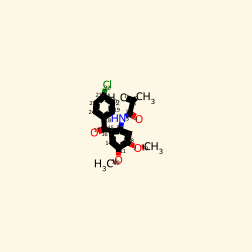 C=C(C)C(=O)Nc1cc(OC)c(OC)cc1C(=O)c1ccc(Cl)cc1